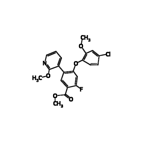 COC(=O)c1cc(-c2cccnc2OC)c(Oc2ccc(Cl)cc2OC)cc1F